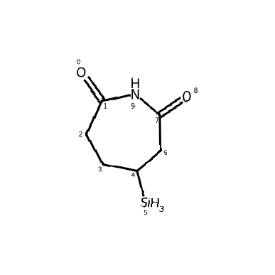 O=C1CCC([SiH3])CC(=O)N1